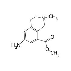 COC(=O)c1cc(N)cc2c1CN(C)CC2